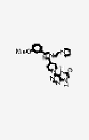 COc1cccc(-c2cn(CCN3CCCC3)c(C3CCN(c4ncnc5c4NC(=O)CN5)CC3)n2)c1